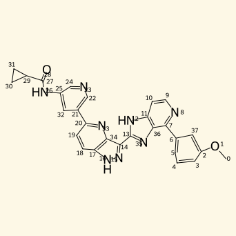 COc1cccc(-c2nccc3[nH]c(-c4n[nH]c5ccc(-c6cncc(NC(=O)C7CC7)c6)nc45)nc23)c1